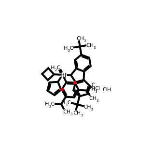 Cl.Cl.[CH2]=[Hf]([c]1cc(C(C)C)cc(C(C)C)c1)([CH]1C=CC=C1)([CH]1CCC1)[CH]1c2cc(C(C)(C)C)ccc2-c2ccc(C(C)(C)C)cc21